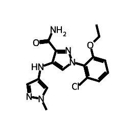 CCOc1cccc(Cl)c1-n1cc(Nc2cnn(C)c2)c(C(N)=O)n1